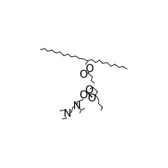 CCCCCCCCCCCCC(CCCCCCCCCC)COC(=O)CCC[C@H](CCCCCC)OC(=O)OCCN(CCN(CC)CC)C(C)C